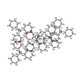 O=S12(c3cc(-c4cccc(N(c5ccccc5)c5ccccc5)c4)ccc3-c3ccc(-c4ccccc4N(c4ccccc4)c4ccccc4)cc31)c1cc(-c3ccccc3N(c3ccccc3)c3ccccc3)ccc1-c1ccc(-c3ccccc3N(c3ccccc3)c3ccccc3)cc12